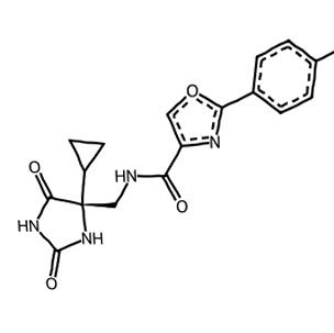 O=C1NC(=O)[C@](CNC(=O)c2coc(-c3ccc(F)cc3)n2)(C2CC2)N1